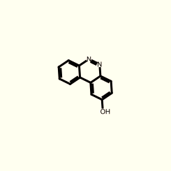 Oc1ccc2nnc3ccccc3c2c1